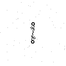 C[Si](C)(C)N(Cc1ccccc1)N=CCCC=NN(Cc1ccccc1)[Si](C)(C)C